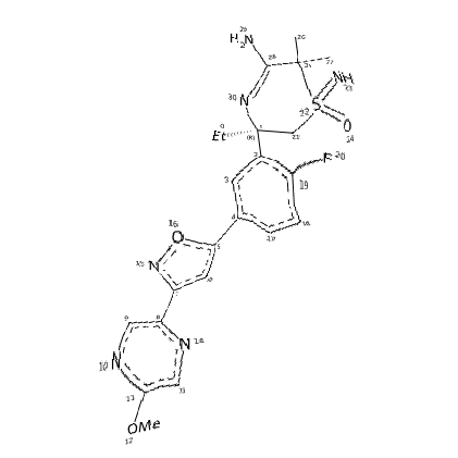 CC[C@@]1(c2cc(-c3cc(-c4cnc(OC)cn4)no3)ccc2F)CS(=N)(=O)C(C)(C)C(N)=N1